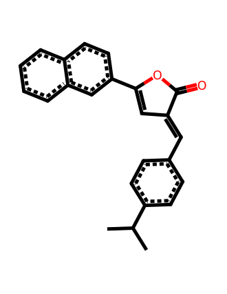 CC(C)c1ccc(/C=C2\C=C(c3ccc4ccccc4c3)OC2=O)cc1